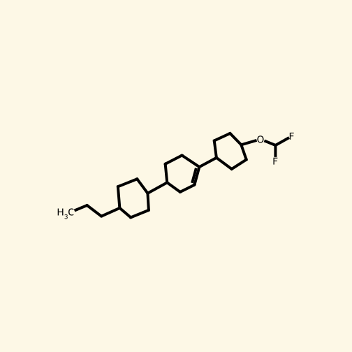 CCCC1CCC(C2CC=C(C3CCC(OC(F)F)CC3)CC2)CC1